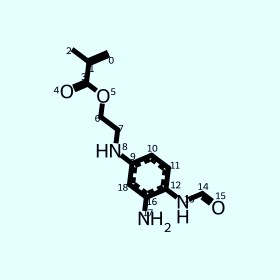 C=C(C)C(=O)OCCNc1ccc(NC=O)c(N)c1